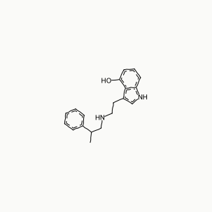 CC(CNCCc1c[nH]c2cccc(O)c12)c1ccccc1